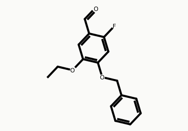 CCOc1cc(C=O)c(F)cc1OCc1ccccc1